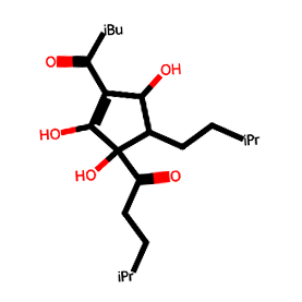 CCC(C)C(=O)C1=C(O)C(O)(C(=O)CCC(C)C)C(CCC(C)C)C1O